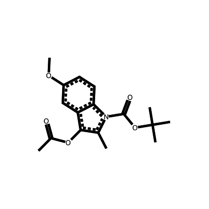 COc1ccc2c(c1)c(OC(C)=O)c(C)n2C(=O)OC(C)(C)C